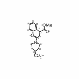 COC(=O)C(CC(=O)N1CCC(C(=O)O)CC1)c1ccccc1